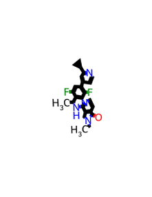 CCN1Cc2c(ccnc2NC(C)c2cc(F)c(-c3ccnc(C4CC4)c3)cc2F)C1=O